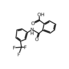 O=C(O)c1ccccc1C(=O)Nc1cccc(C(F)(F)F)c1